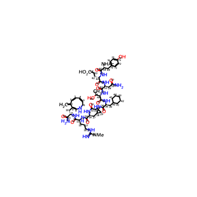 C=C1/C=C\C=C/CN/C=C\1C[C@H](NC(=O)[C@H](CCCNC(=N)NC)NC(=O)[C@H](CC1CC1)NC(=O)CNC(=O)[C@H](CC1CCCCC1)NC(=O)[C@@H](NC(=O)[C@H](CC(N)=O)NC(=O)[C@H](CCC(=O)O)NC(=O)[C@@H](Cc1ccc(O)cc1)NC(C)=O)[C@@H](C)O)C(N)=O